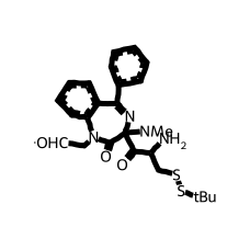 CNC1(C(=O)C(N)CSSC(C)(C)C)N=C(c2ccccc2)c2ccccc2N(C[C]=O)C1=O